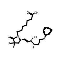 C[C@@H](CCSc1ccccc1)[C@H](O)/C=C/[C@H]1CC(F)(F)C(=O)N1CCCCCCC(=O)O